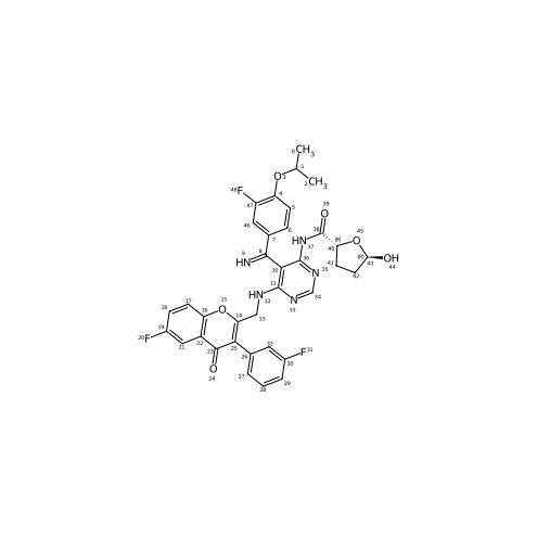 CC(C)Oc1ccc(C(=N)c2c(NCc3oc4ccc(F)cc4c(=O)c3-c3cccc(F)c3)ncnc2NC(=O)[C@H]2CC[C@H](O)O2)cc1F